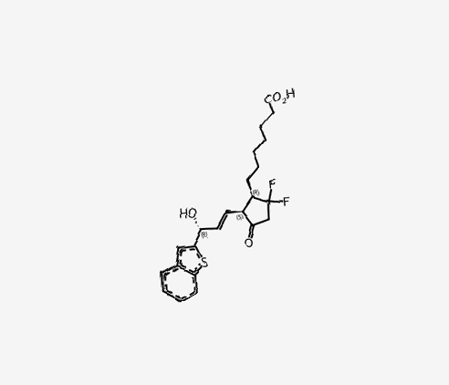 O=C(O)CCCCCC[C@@H]1[C@H](C=C[C@@H](O)c2cc3ccccc3s2)C(=O)CC1(F)F